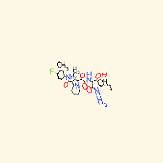 Cc1cc(NC(=O)c2c(C)c(C(=O)C(=O)NC(C(N)=O)C(C)O)n3c2CCCC3)ccc1F